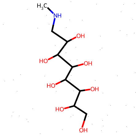 CNCC(O)C(O)C(O)C(O)C(O)C(O)CO